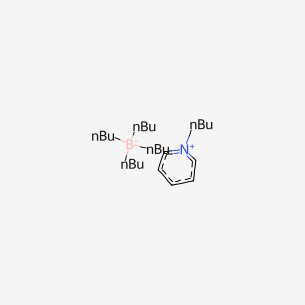 CCCC[B-](CCCC)(CCCC)CCCC.CCCC[n+]1ccccc1